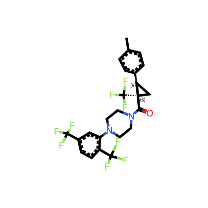 Cc1ccc([C@H]2C[C@]2(C(=O)N2CCN(c3cc(C(F)(F)F)ccc3C(F)(F)F)CC2)C(F)(F)F)cc1